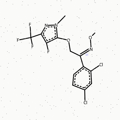 CO/N=C(\COc1c(F)c(C(F)(F)F)nn1C)c1ccc(Cl)cc1Cl